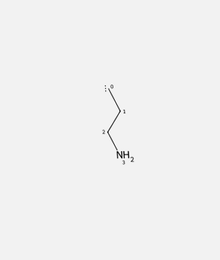 [C]CCN